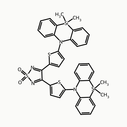 C[Si]1(C)c2ccccc2N(c2ccc(C3=NS(=O)(=O)N=C3c3ccc(N4c5ccccc5[Si](C)(C)c5ccccc54)s3)s2)c2ccccc21